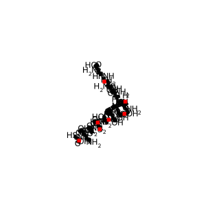 CC(C)C[C@H](N)C(=O)O.CC(C)[C@H](N)C(=O)O.CC[C@H](C)[C@H](N)C(=O)O.CSCC[C@H](N)C(=O)O.C[C@@H](O)[C@H](N)C(=O)O.N=C(N)NCCC[C@H](N)C(=O)O.NCCCC[C@H](N)C(=O)O.N[C@@H](CS)C(=O)O.N[C@@H](Cc1c[nH]c2ccccc12)C(=O)O.N[C@@H](Cc1c[nH]cn1)C(=O)O.N[C@@H](Cc1ccccc1)C(=O)O